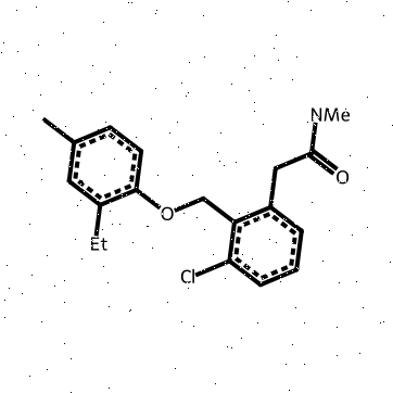 CCc1cc(C)ccc1OCc1c(Cl)cccc1CC(=O)NC